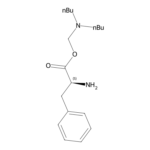 CCCCN(CCCC)COC(=O)[C@@H](N)Cc1ccccc1